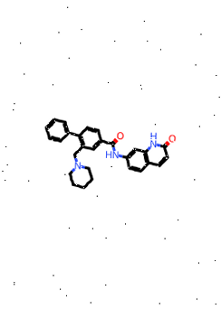 O=C(Nc1ccc2ccc(=O)[nH]c2c1)c1ccc(-c2ccccc2)c(CN2CCCCC2)c1